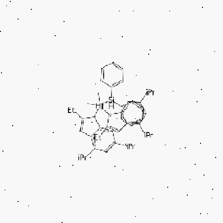 CCC1=Cc2c(C(C)C)cc(C(C)C)cc2[CH]1[Hf]([CH3])([CH3])([CH]1C(CC)=Cc2c(C(C)C)cc(C(C)C)cc21)[SiH](c1ccccc1)c1ccccc1